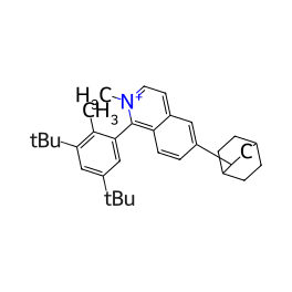 Cc1c(-c2c3ccc(C4CC5CCC4CC5)cc3cc[n+]2C)cc(C(C)(C)C)cc1C(C)(C)C